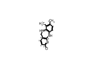 Cc1ccc2c(c1C)NCc1ccc(Cl)nc1N2